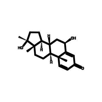 C[C@]12C=CC(=O)C=C1[C@H](O)C[C@@H]1[C@@H]2CC[C@@]2(C)[C@H]1CC[C@]2(C)O